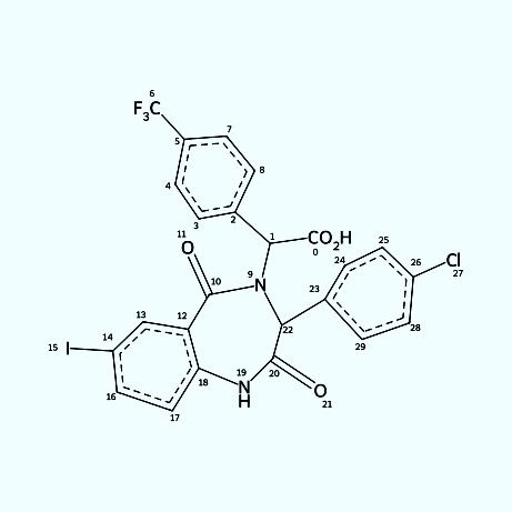 O=C(O)C(c1ccc(C(F)(F)F)cc1)N1C(=O)c2cc(I)ccc2NC(=O)C1c1ccc(Cl)cc1